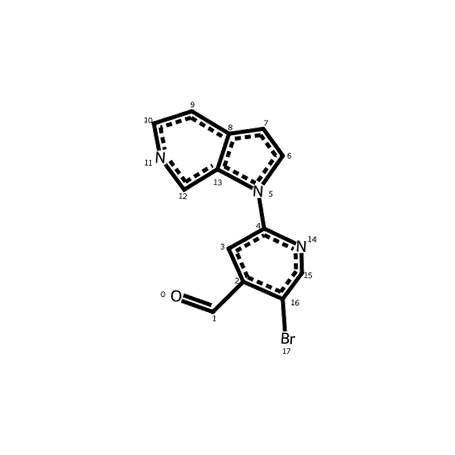 O=Cc1cc(-n2ccc3ccncc32)ncc1Br